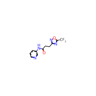 O=C(CCc1noc(C(F)(F)F)n1)Nc1cccnc1